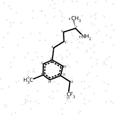 Cc1cc(CCC[C@H](C)N)cc(CC(F)(F)F)c1